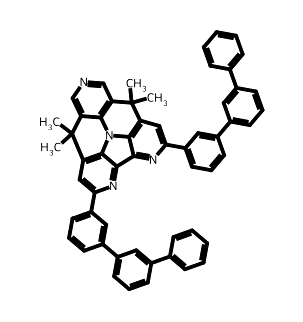 CC1(C)c2cncc3c2-n2c4c1cc(-c1cccc(-c5cccc(-c6ccccc6)c5)c1)nc4c1nc(-c4cccc(-c5cccc(-c6ccccc6)c5)c4)cc(c12)C3(C)C